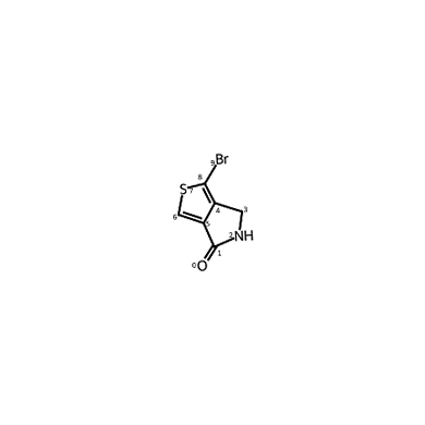 O=C1NCc2c1csc2Br